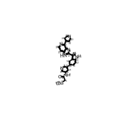 CC(C)(C)CC(=O)Nc1cncc(-c2ccc3[nH]nc(-c4nc5c(-c6ccncc6)nccc5[nH]4)c3c2)c1